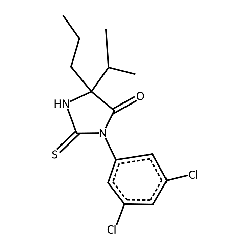 CCCC1(C(C)C)NC(=S)N(c2cc(Cl)cc(Cl)c2)C1=O